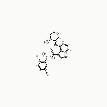 C[C@@H](NC(=O)c1n[nH]c2ncnc(N[C@@H]3COCC[C@H]3O)c12)c1cc(F)ccc1F